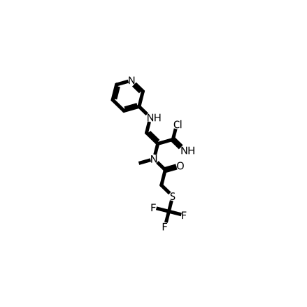 CN(C(=O)CSC(F)(F)F)/C(=C/Nc1cccnc1)C(=N)Cl